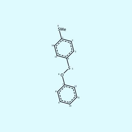 CSc1ccc(SOc2ccccc2)cc1